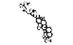 CN(CC(=O)O)CC(O)CO[C@H]1CC[C@]2(C)[C@H]3C(=O)C=C4[C@@H]5C[C@@](C)(C(=O)O)CC[C@]5(C)CC[C@@]4(C)[C@]3(C)CC[C@H]2C1(C)C